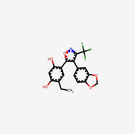 CCc1cc(-c2onc(C(F)(F)F)c2-c2ccc3c(c2)OCO3)c(O)cc1O